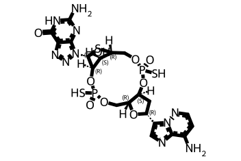 Nc1nc2c(nnn2[C@@H]2S[C@@H]3COP(=O)(S)O[C@H]4C[C@H](c5cnc6c(N)ccnn56)O[C@@H]4COP(=O)(S)O[C@@H]2[C@@H]3O)c(=O)[nH]1